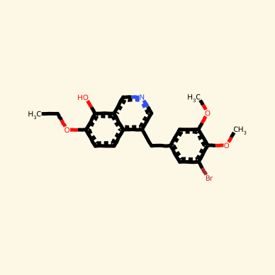 CCOc1ccc2c(Cc3cc(Br)c(OC)c(OC)c3)cncc2c1O